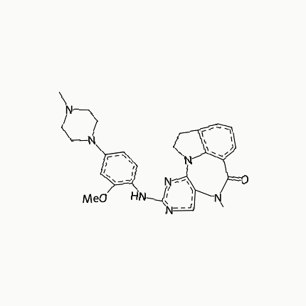 COc1cc(N2CCN(C)CC2)ccc1Nc1ncc2c(n1)N1CCc3cccc(c31)C(=O)N2C